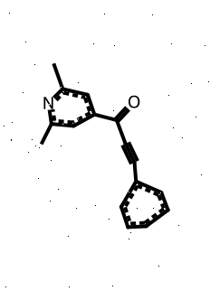 Cc1cc(C(=O)C#Cc2ccccc2)cc(C)n1